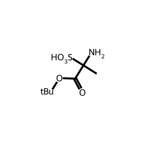 CC(C)(C)OC(=O)C(C)(N)S(=O)(=O)O